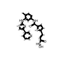 Cc1ccc(NC(=O)c2ccc(C=CC(=O)NO)s2)cc1Nc1nc(-c2cccnc2)cs1